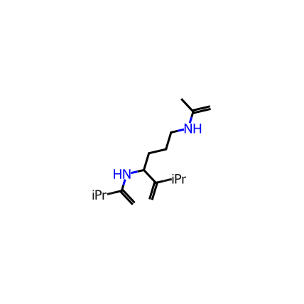 C=C(C)NCCCC(NC(=C)C(C)C)C(=C)C(C)C